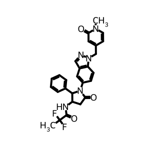 Cn1ccc(Cn2ncc3cc(N4C(=O)CC(NC(=O)C(C)(F)F)C4c4ccccc4)ccc32)cc1=O